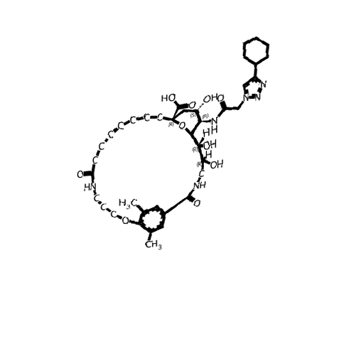 Cc1cc2cc(C)c1OCCCNC(=O)CCCCCCC[C@]1(C(=O)O)C[C@H](O)[C@@H](NC(=O)Cn3cc(C4CCCCC4)nn3)C(O1)[C@H](O)[C@H](O)CNC2=O